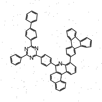 c1ccc(-c2ccc(-c3nc(-c4ccccc4)nc(-c4ccc(-c5nc6c(-c7ccc8c9ccccc9c9ccccc9c8c7)cccc6c6c5ccc5ccccc56)cc4)n3)cc2)cc1